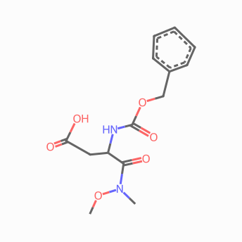 CON(C)C(=O)C(CC(=O)O)NC(=O)OCc1ccccc1